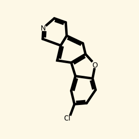 Clc1ccc2oc3cc4ccncc4cc3c2c1